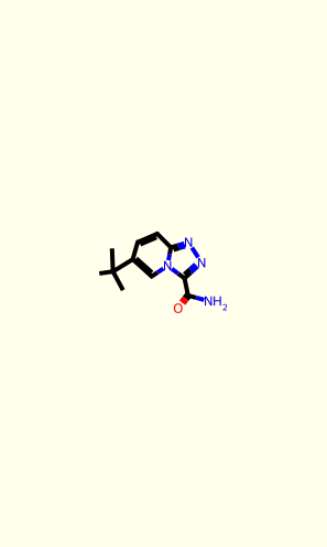 CC(C)(C)c1ccc2nnc(C(N)=O)n2c1